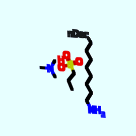 CCCCCCCCCCCCCCCCCCN.CCCS(=O)(=O)O.CN(C)C